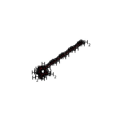 N=C(N)NCCC[C@@H]1NC(=O)[C@H](CS)NC(=O)[C@H](CCCCN)NC(=O)CSC[C@@H](C(=O)NCCOCCOCCOCCNC(=O)COCC(=O)NCCOCCOCCOCCNC(=O)COCC(=O)NCCOCCOCCOCCNC(=O)COCC(=O)NCCOCCOCCOCCNC(=O)COCC(N)=O)NC(=O)[C@H](Cc2ccccc2)NC(=O)[C@H](CS)NC(=O)[C@H](CC(=O)O)NC(=O)CNC1=O